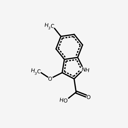 COc1c(C(=O)O)[nH]c2ccc(C)cc12